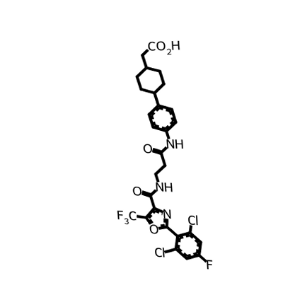 O=C(O)CC1CCC(c2ccc(NC(=O)CCNC(=O)c3nc(-c4c(Cl)cc(F)cc4Cl)oc3C(F)(F)F)cc2)CC1